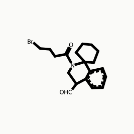 O=CC1CN(C(=O)CCCBr)C2(CCCCC2)c2ccccc21